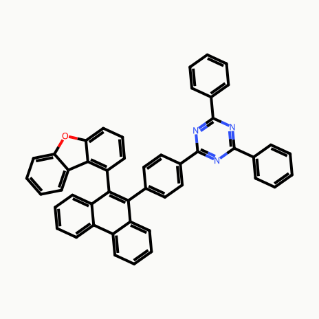 c1ccc(-c2nc(-c3ccccc3)nc(-c3ccc(-c4c(-c5cccc6oc7ccccc7c56)c5ccccc5c5ccccc45)cc3)n2)cc1